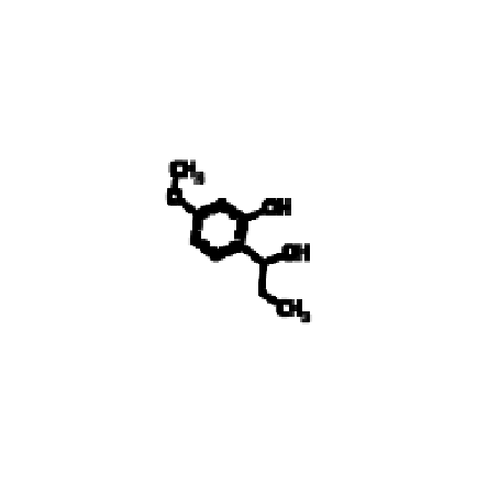 CCC(O)c1ccc(OC)cc1O